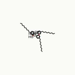 CCCCCCCCCc1ccc(P(O)(OP(O)O)(c2ccc(CCCCCCCCC)cc2)c2ccc(CCCCCCCCC)cc2)cc1